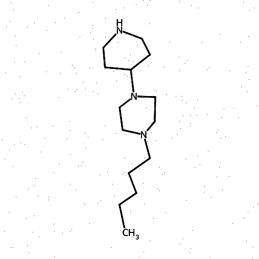 CCCCCN1CCN(C2CCNCC2)CC1